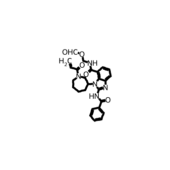 C=CC(=O)N1CCCCC(n2c(NC(=O)c3ccccc3)nc3cccc(C(=O)NCOC=O)c32)C1